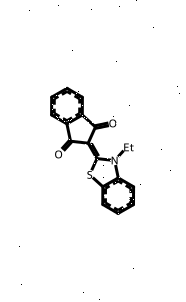 CCN1C(=C2C(=O)c3ccccc3C2=O)Sc2ccccc21